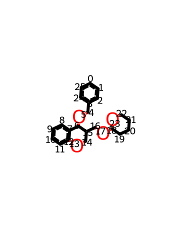 c1ccc(COC2c3ccccc3OCC2COC2CCCCO2)cc1